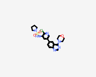 O=S(=O)(Nc1cc(-c2ccc3ncnc(N4CCOCC4)c3c2)cnc1Cl)N1CCCC1